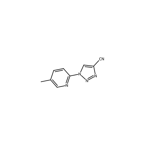 Cc1ccc(-n2cc(C#N)nn2)nc1